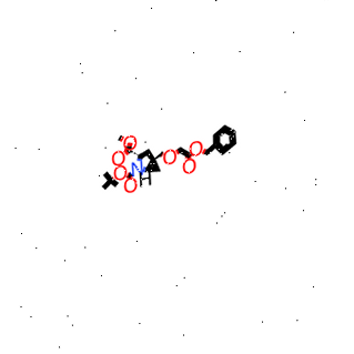 COC(=O)[C@@H]1C[C@]2(COCC(=O)OCc3ccccc3)C[C@@H]2N1C(=O)OC(C)(C)C